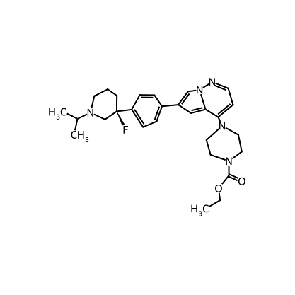 CCOC(=O)N1CCN(c2ccnn3cc(-c4ccc([C@@]5(F)CCCN(C(C)C)C5)cc4)cc23)CC1